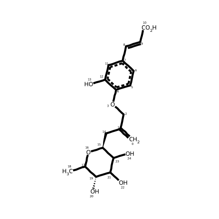 C=C(COc1ccc(/C=C/C(=O)O)cc1O)C[C@@H]1OC(C)[C@@H](O)C(O)C1O